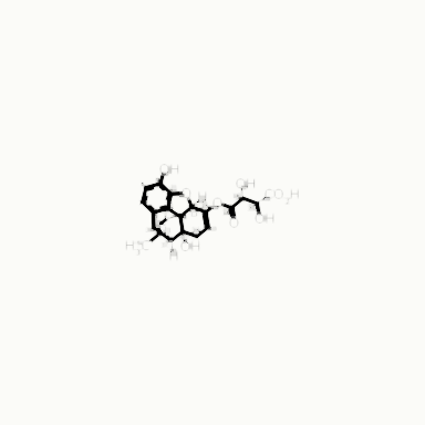 CN1CC[C@]23c4c5ccc(O)c4O[C@H]2C(OC(=O)[C@H](O)[C@@H](O)C(=O)O)=CC[C@@]3(O)[C@H]1C5